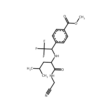 COC(=O)c1ccc(C(NC(CC(C)C)C(=O)NCC#N)C(F)(F)F)cc1